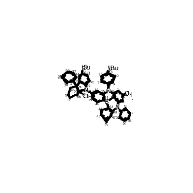 Cc1cc2c3c(c1)N(c1ccc(C(C)(C)C)cc1)c1cc(N4c5ccc(C(C)(C)C)cc5C5(c6ccccc6)CCCCC45C)ccc1B3c1ccccc1N2c1ccccc1